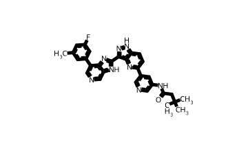 Cc1cc(F)cc(-c2cncc3[nH]c(-c4n[nH]c5ccc(-c6cncc(NC(=O)CC(C)(C)C)c6)nc45)nc23)c1